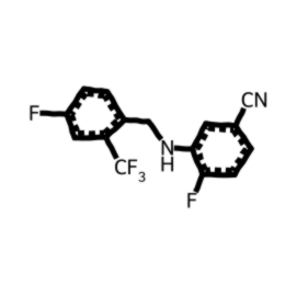 N#Cc1ccc(F)c(NCc2ccc(F)cc2C(F)(F)F)c1